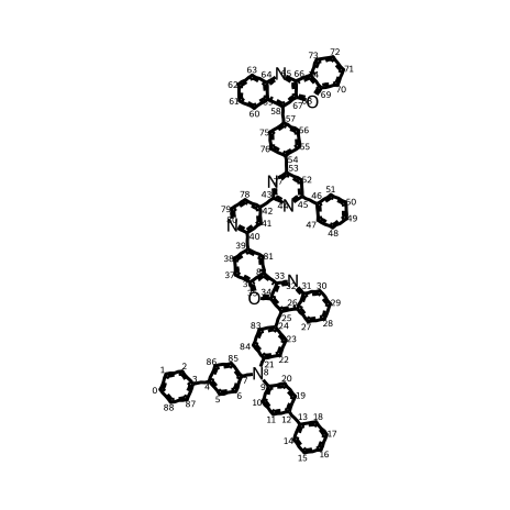 c1ccc(-c2ccc(N(c3ccc(-c4ccccc4)cc3)c3ccc(-c4c5ccccc5nc5c4oc4ccc(-c6cc(-c7nc(-c8ccccc8)cc(-c8ccc(-c9c%10ccccc%10nc%10c9oc9ccccc9%10)cc8)n7)ccn6)cc45)cc3)cc2)cc1